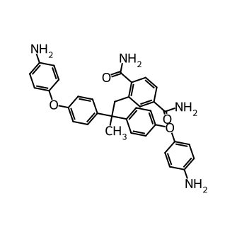 CC(Cc1cc(C(N)=O)ccc1C(N)=O)(c1ccc(Oc2ccc(N)cc2)cc1)c1ccc(Oc2ccc(N)cc2)cc1